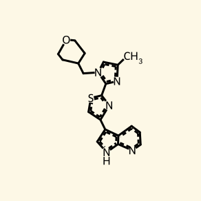 Cc1cn(CC2CCOCC2)c(-c2nc(-c3c[nH]c4ncccc34)cs2)n1